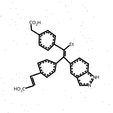 CC/C(=C(/c1ccc(/C=C/C(=O)O)cc1)c1ccc2[nH]ncc2c1)c1ccc(CC(=O)O)cc1